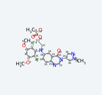 COc1cc(OC)c(F)c(N(CCOS(C)(=O)=O)c2ccc3ncn(-c4cnn(C)c4)c(=O)c3c2)c1F